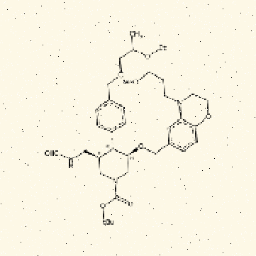 CCOC(C)COCc1ccc([C@H]2[C@H](CNC=O)CN(C(=O)OC(C)(C)C)C[C@@H]2OCc2ccc3c(c2)N(CCCOC)CCO3)cc1